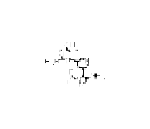 C=CC[C@H](OC(N)=O)c1cncc(-c2c(N)cnn2C(F)F)c1